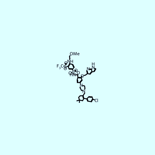 COCCNc1ccc(S(=O)(=O)NC(=O)c2ccc(N3CCN(CC4=C(c5ccc(Cl)cc5)CC(C)(C)CC4)CC3)cc2OCc2cnc3[nH]ccc3c2)cc1S(=O)(=O)C(F)(F)F